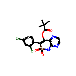 CC(C)(C)C(=O)OC1=C(c2ccc(Cl)cc2Cl)S(=O)(=O)Nc2nccnc21